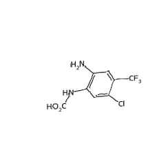 Nc1cc(C(F)(F)F)c(Cl)cc1NC(=O)O